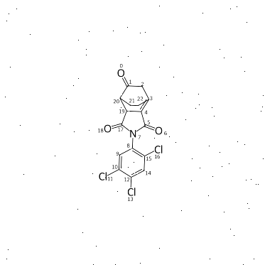 O=C1CC2=C3C(=O)N(c4cc(Cl)c(Cl)cc4Cl)C(=O)C3C1CC2